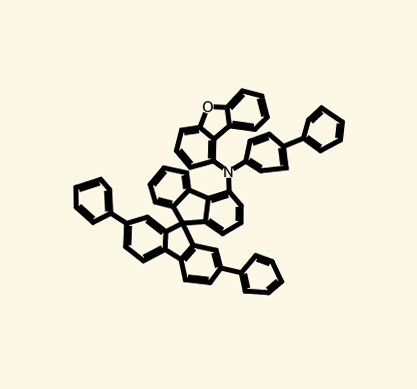 c1ccc(-c2ccc(N(c3cccc4c3-c3ccccc3C43c4cc(-c5ccccc5)ccc4-c4ccc(-c5ccccc5)cc43)c3cccc4oc5ccccc5c34)cc2)cc1